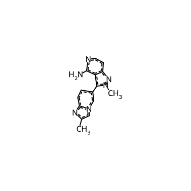 Cc1cn2cc(-c3c4c(N)nccc4nn3C)ccc2n1